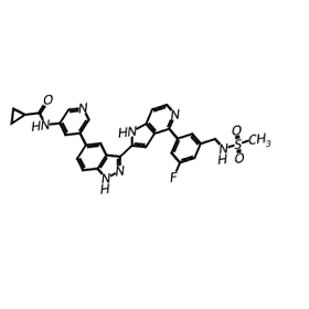 CS(=O)(=O)NCc1cc(F)cc(-c2nccc3[nH]c(-c4n[nH]c5ccc(-c6cncc(NC(=O)C7CC7)c6)cc45)cc23)c1